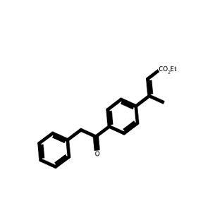 CCOC(=O)C=C(C)c1ccc(C(=O)Cc2ccccc2)cc1